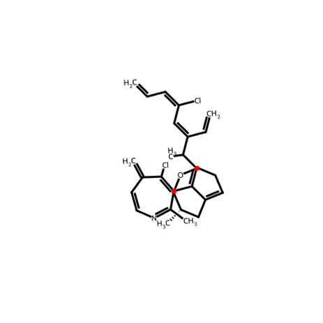 C=C/C=C(Cl)\C=C(/C=C)C(C)/C=C(C1=C(Cl)C(=C)C=CN=C1C)/C1=C\CCOC[C@@H](C)C1